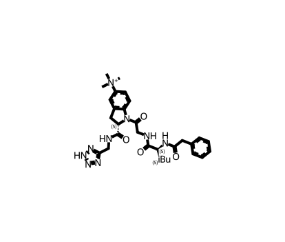 CC[C@H](C)[C@H](NC(=O)Cc1ccccc1)C(=O)NCC(=O)N1c2ccc([N+](C)(C)C)cc2C[C@H]1C(=O)NCc1nn[nH]n1